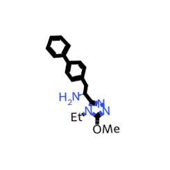 CCn1c(OC)nnc1[C@H](N)Cc1ccc(-c2ccccc2)cc1